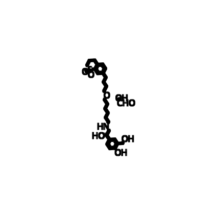 O=CO.O=S1(=O)CCCc2ccc(CCCCOCCCCCCNC[C@H](O)c3ccc(O)c(CO)c3)cc21